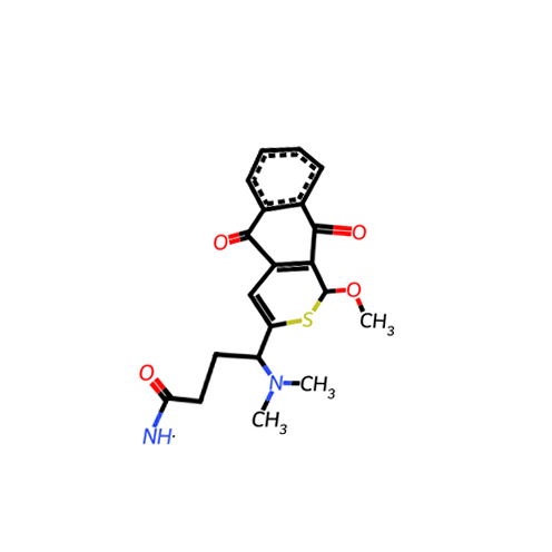 COC1SC(C(CCC([NH])=O)N(C)C)=CC2=C1C(=O)c1ccccc1C2=O